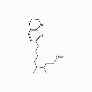 COCCC(C)C(C)CCCCc1ccc2c(n1)NCCC2